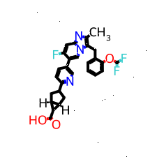 Cc1nc2cc(F)c(-c3ccc(C4C[C@@H]5C(C(=O)O)[C@@H]5C4)nc3)cn2c1Cc1ccccc1OC(F)F